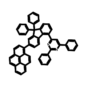 c1ccc(-c2cc(-c3cccc4c3-c3ccc(-c5ccc6ccc7cccc8ccc5c6c78)cc3C4(c3ccccc3)c3ccccc3)nc(-c3ccccc3)n2)cc1